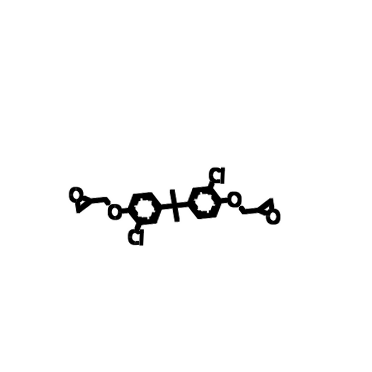 CC(C)(c1ccc(OCC2CO2)c(Cl)c1)c1ccc(OCC2CO2)c(Cl)c1